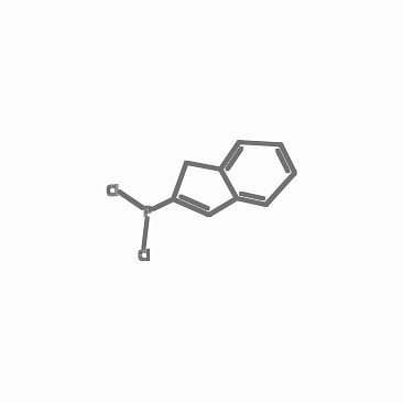 ClP(Cl)C1=Cc2ccccc2C1